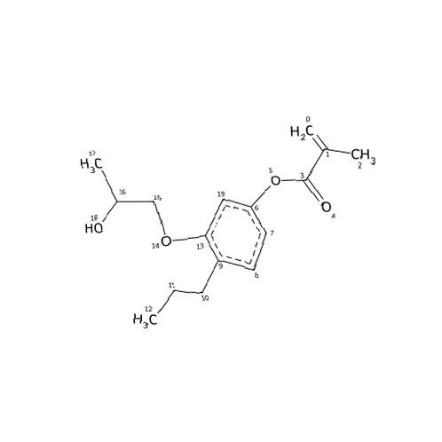 C=C(C)C(=O)Oc1ccc(CCC)c(OCC(C)O)c1